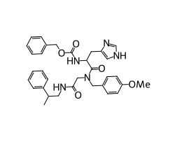 COc1ccc(CN(CC(=O)NCC(C)c2ccccc2)C(=O)C(Cc2c[nH]cn2)NC(=O)OCc2ccccc2)cc1